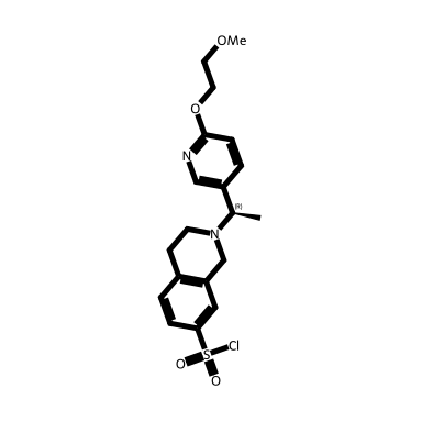 COCCOc1ccc([C@@H](C)N2CCc3ccc(S(=O)(=O)Cl)cc3C2)cn1